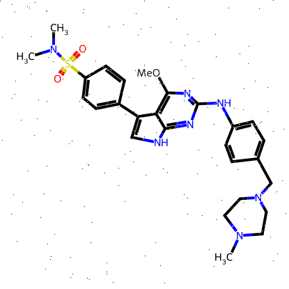 COc1nc(Nc2ccc(CN3CCN(C)CC3)cc2)nc2[nH]cc(-c3ccc(S(=O)(=O)N(C)C)cc3)c12